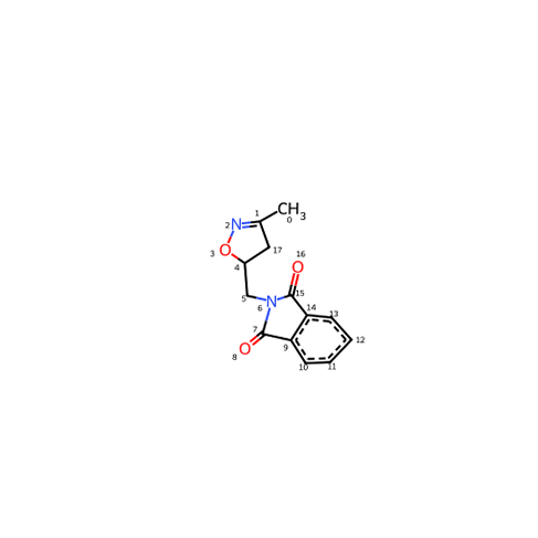 CC1=NOC(CN2C(=O)c3ccccc3C2=O)C1